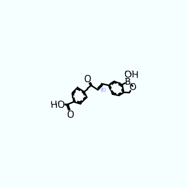 O=C(O)c1ccc(C(=O)/C=C/c2ccc3c(c2)B(O)OC3)cc1